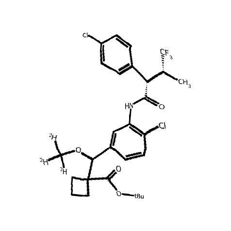 [2H]C([2H])([2H])OC(c1ccc(Cl)c(NC(=O)[C@H](c2ccc(Cl)cc2)[C@@H](C)C(F)(F)F)c1)C1(C(=O)OC(C)(C)C)CCC1